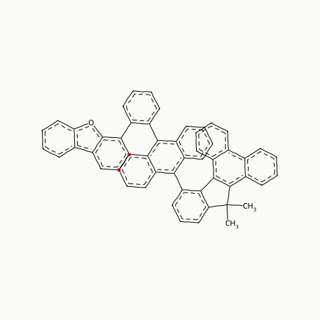 CC1(C)c2cccc(-c3c4ccccc4c(-c4ccccc4-c4cccc5c4oc4ccccc45)c4ccccc34)c2-c2c1c1ccccc1c1ccccc21